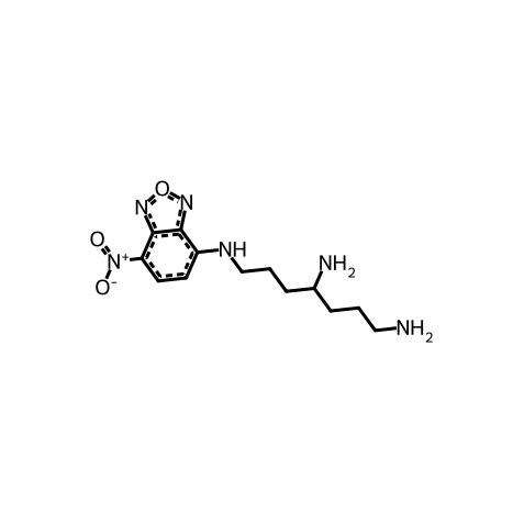 NCCCC(N)CCCNc1ccc([N+](=O)[O-])c2nonc12